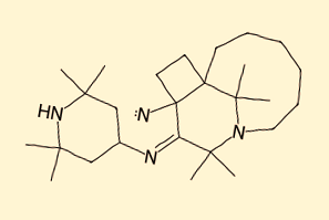 CC1(C)CC(N=C2C(C)(C)N3CCCCCCC4(CCC24[N])C3(C)C)CC(C)(C)N1